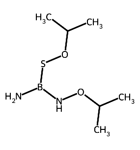 CC(C)ONB(N)SOC(C)C